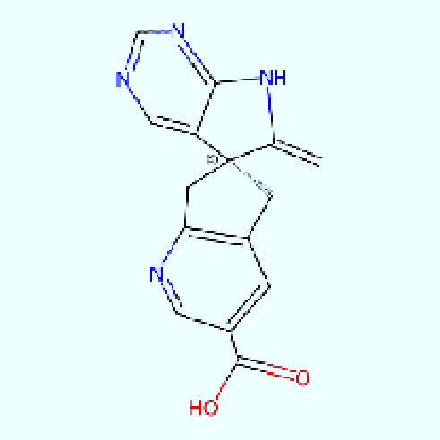 C=C1Nc2ncncc2[C@@]12Cc1cc(C(=O)O)cnc1C2